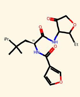 CCC1OCC(=O)C1NC(=O)[C@H](CC(C)(C)C(C)C)NC(=O)c1ccoc1